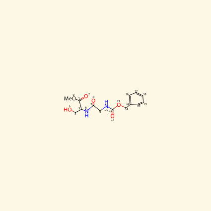 COC(=O)C(CO)NC(=O)CNC(=O)OCc1ccccc1